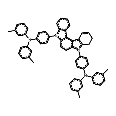 Cc1cccc(N(c2ccc(-n3c4c(c5c6c7ccccc7n(-c7ccc(N(c8cccc(C)c8)c8cccc(C)c8)cc7)c6ccc53)C=CCC4)cc2)c2cccc(C)c2)c1